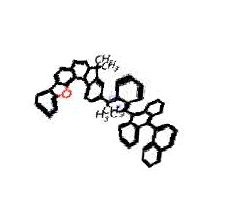 C/C(c1ccc2c(c1)C(C)(C)c1ccc3ccc4c5ccccc5oc4c3c1-2)=c1/cccc/c1=C(/C)c1c2ccccc2c(-c2cccc3ccccc23)c2ccccc12